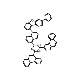 c1ccc(-c2ccc3c(c2)oc2cccc(-c4cccc5c(C6N=C(c7cc8ccccc8c8ccccc78)NC(c7ccc8ccc9ccccc9c8c7)N6)cccc45)c23)cc1